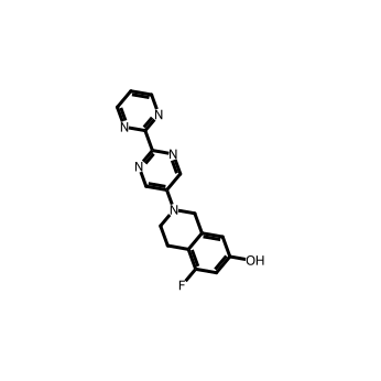 Oc1cc(F)c2c(c1)CN(c1cnc(-c3ncccn3)nc1)CC2